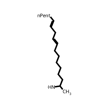 CCCCCC=CCC=CCCCCCCC(C)[NH]